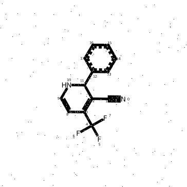 N#CC1=C(C(F)(F)F)C=CNC1c1ccccc1